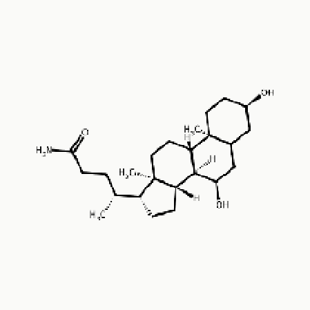 C[C@H](CCC(N)=O)[C@H]1CC[C@H]2[C@@H]3[C@H](O)CC4C[C@H](O)CC[C@]4(C)[C@H]3CC[C@]12C